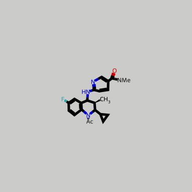 CNC(=O)c1ccc(NC2c3cc(F)ccc3N(C(C)=O)C(C3CC3)[C@@H]2C)nc1